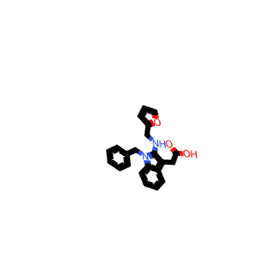 O=C(O)Cc1c(NCc2ccco2)n(Cc2ccccc2)c2ccccc12